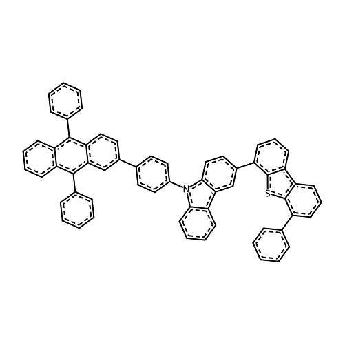 c1ccc(-c2c3ccccc3c(-c3ccccc3)c3cc(-c4ccc(-n5c6ccccc6c6cc(-c7cccc8c7sc7c(-c9ccccc9)cccc78)ccc65)cc4)ccc23)cc1